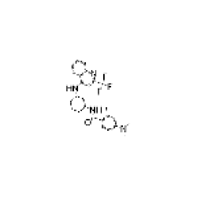 Cc1cc(N(C)C)ccc1C(=O)NC1=C[C@@H](Nc2cc(C(F)(F)F)nc3ccccc23)CCC1